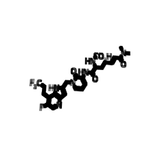 CN(C)C(=O)C=CCCC(NC(=O)O)C(=O)Nc1cccn(Cc2cc3ncc(F)c(CCC(F)(F)F)c3[nH]2)c1=O